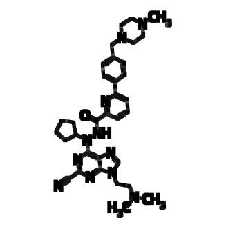 CN(C)CCn1cnc2c(N(NC(=O)c3cccc(-c4ccc(CN5CCN(C)CC5)cc4)n3)C3CCCC3)nc(C#N)nc21